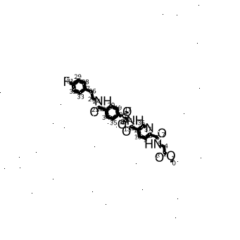 COC(=O)CNC(=O)c1ccc(C(=O)NS(=O)(=O)c2ccc(C(=O)NCCc3ccc(F)cc3)cc2)cn1